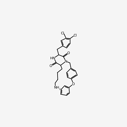 NCCCCC1C(=O)NC(Cc2ccc(Cl)c(Cl)c2)C(=O)N1Cc1ccc(Oc2ccccc2)cc1